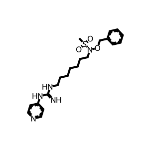 CS(=O)(=O)N(CCCCCCCNC(=N)Nc1ccncc1)OCc1ccccc1